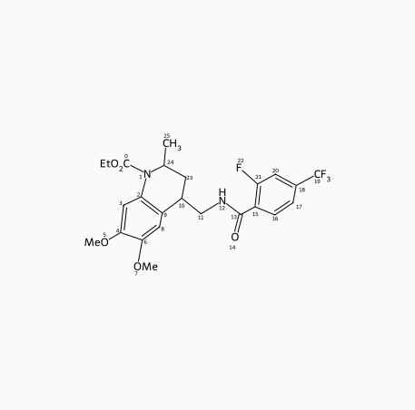 CCOC(=O)N1c2cc(OC)c(OC)cc2C(CNC(=O)c2ccc(C(F)(F)F)cc2F)CC1C